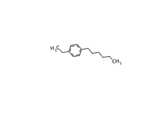 CCCCCCc1ccc(CC)cc1